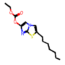 CCCCCCCc1cn2cc(OC(=O)OCC)nc2s1